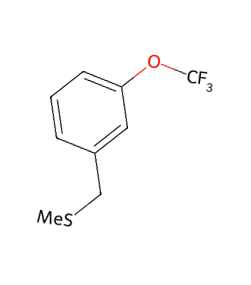 CSCc1cccc(OC(F)(F)F)c1